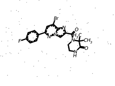 CC1(C)C(=O)NCCN1C(=O)c1cn2nc(-c3ccc(F)cc3)cc(Br)c2n1